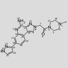 CN1CCN(C(=O)Cn2cc3c(n2)c(N)nc2cc(-c4cc[nH]n4)ccc23)CC1